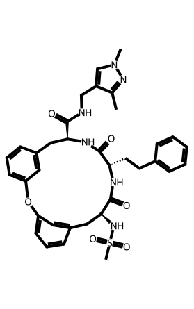 Cc1nn(C)cc1CNC(=O)[C@@H]1Cc2cccc(c2)Oc2cccc(c2)C[C@H](NS(C)(=O)=O)C(=O)N[C@@H](CCc2ccccc2)C(=O)N1